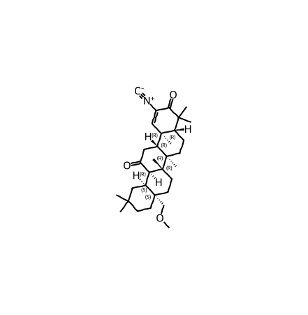 [C-]#[N+]C1=C[C@]2(C)[C@H]3CC(=O)[C@@H]4[C@@H]5CC(C)(C)CC[C@]5(COC)CC[C@@]4(C)[C@]3(C)CC[C@H]2C(C)(C)C1=O